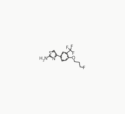 Nc1nc(-c2ccc(OCCCF)c(C(F)(F)F)c2)cs1